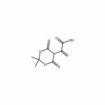 C=C(C(=O)O)C1C(=O)OC(C)(C)OC1=O